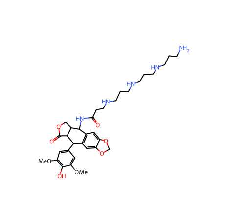 COc1cc(C2c3cc4c(cc3C(NC(=O)CCNCCCNCCCNCCCN)C3COC(=O)C23)OCO4)cc(OC)c1O